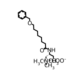 C[N+](C)(C)C[C@@H](CC(=O)[O-])NC(=O)CCCCCCCOCc1ccccc1